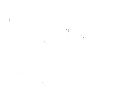 N#Cc1ccc(-c2cc(-n3c4ccc(C(F)(F)F)cc4c4cc(C(F)(F)F)ccc43)ncc2-n2c3ccc(C(F)(F)F)cc3c3cc(C(F)(F)F)ccc32)cc1